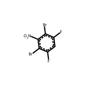 O=[N+]([O-])c1c(Br)c(F)cc(F)c1Br